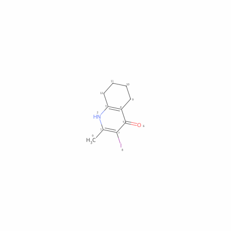 Cc1[nH]c2c(c(=O)c1I)CCCC2